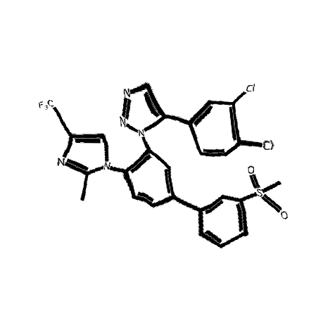 Cc1nc(C(F)(F)F)cn1-c1ccc(-c2cccc(S(C)(=O)=O)c2)cc1-n1nncc1-c1ccc(Cl)c(Cl)c1